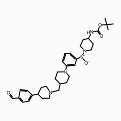 CC(C)(C)OC(=O)NC1CCN([S+]([O-])c2cccc(N3CCC(CN4CCC(c5ccc(C=O)cc5)CC4)CC3)c2)CC1